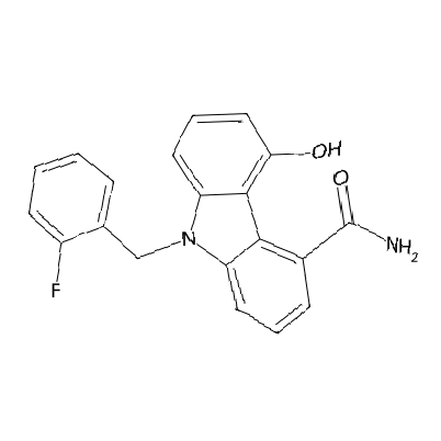 NC(=O)c1cccc2c1c1c(O)cccc1n2Cc1ccccc1F